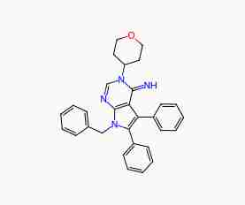 N=c1c2c(-c3ccccc3)c(-c3ccccc3)n(Cc3ccccc3)c2ncn1C1CCOCC1